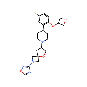 Fc1ccc(OC2COC2)c(C2CCN(C3COC4(C3)CN(c3ncon3)C4)CC2)c1